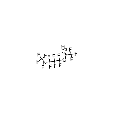 C=C(OC(F)(F)C(F)(F)C(F)(F)N(F)C(F)(F)F)C(F)(F)F